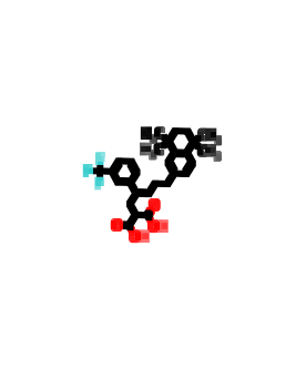 CC1(C)CCC(C)(C)c2cc(CCC=C(CC(C(=O)O)C(=O)O)c3cccc(C(F)(F)F)c3)ccc21